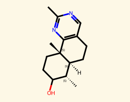 Cc1ncc2c(n1)[C@@]1(C)CCC(O)[C@@H](C)[C@@H]1CC2